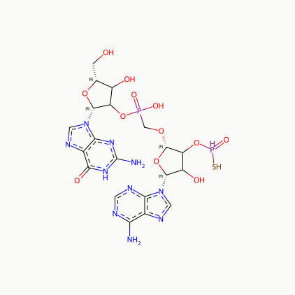 Nc1nc2c(ncn2[C@@H]2O[C@H](CO)C(O)C2OP(=O)(O)CO[C@H]2O[C@@H](n3cnc4c(N)ncnc43)C(O)C2O[PH](=O)S)c(=O)[nH]1